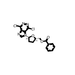 O=C(OC[C@@H]1CC[C@H](n2cnc3c(Cl)nnc(Cl)c32)O1)c1ccccc1